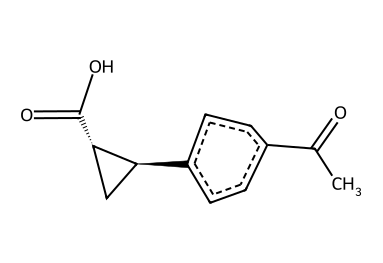 CC(=O)c1ccc([C@H]2C[C@@H]2C(=O)O)cc1